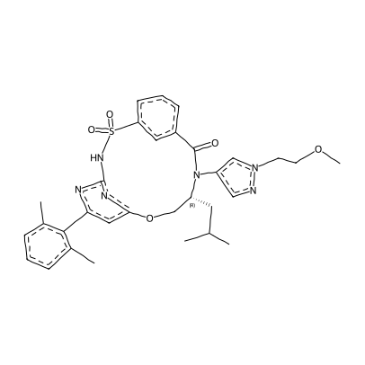 COCCn1cc(N2C(=O)c3cccc(c3)S(=O)(=O)Nc3nc(cc(-c4c(C)cccc4C)n3)OC[C@H]2CC(C)C)cn1